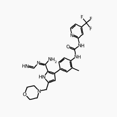 Cc1cc(-c2cc(CN3CCOCC3)[nH]c2/C(N)=N\C=N)ccc1NC(=O)Nc1cc(C(F)(F)F)ccn1